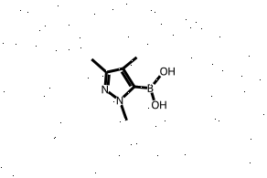 Cc1nn(C)c(B(O)O)c1C